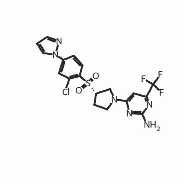 Nc1nc(N2CC[C@H](S(=O)(=O)c3ccc(-n4cccn4)cc3Cl)C2)cc(C(F)(F)F)n1